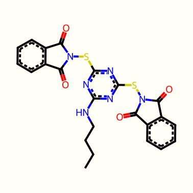 CCCCNc1nc(SN2C(=O)c3ccccc3C2=O)nc(SN2C(=O)c3ccccc3C2=O)n1